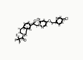 O=C(Cn1ncc(OCc2ccc(Cl)cn2)cc1=O)c1ccc2c(c1)CN(C(=O)C(F)(F)F)CC2